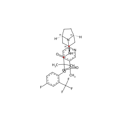 CC(C)(Oc1ccc(F)cc1C(F)(F)F)C(=O)N[C@H]1C[C@H]2CC[C@@H](C1)N2c1ccc(S(C)(=O)=O)cn1